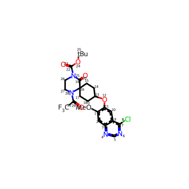 COc1cc2ncnc(Cl)c2cc1OC1CCC2(CC1)C(=O)N(C(=O)OC(C)(C)C)CCN2C(=O)C(F)(F)F